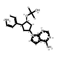 C/C=C(\C=C/N)C1CC(n2ccc3c(N)ncnc32)C[C@@H]1OC(C)(C)O